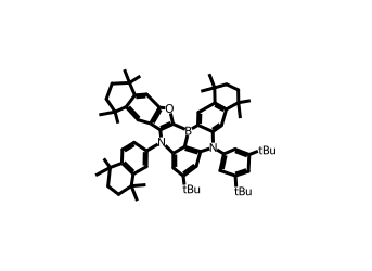 CC(C)(C)c1cc(N2c3cc4c(cc3B3c5oc6cc7c(cc6c5N(c5ccc6c(c5)C(C)(C)CCC6(C)C)c5cc(C(C)(C)C)cc2c53)C(C)(C)CCC7(C)C)C(C)(C)CCC4(C)C)cc(C(C)(C)C)c1